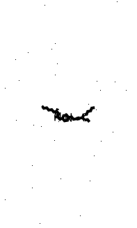 CCCCCCC(C)CN(C)CC1CCN(CCC#CC(CCC)CCCCCC)CC1